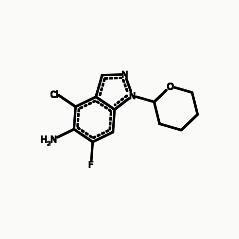 Nc1c(F)cc2c(cnn2C2CCCCO2)c1Cl